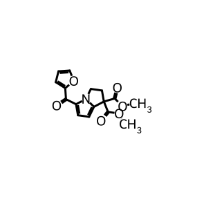 COC(=O)C1(C(=O)OC)CCn2c(C(=O)c3ccco3)ccc21